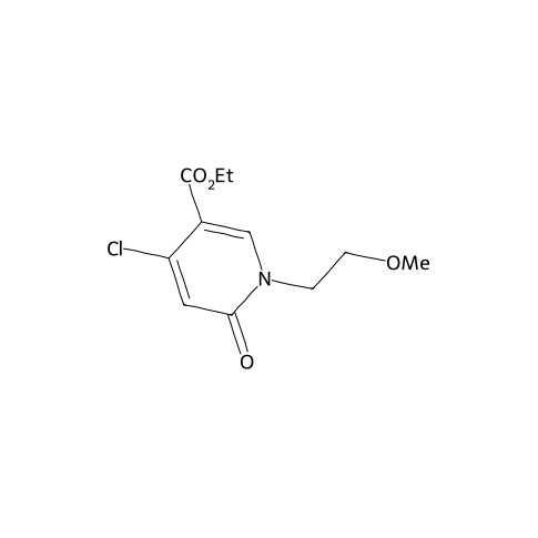 CCOC(=O)c1cn(CCOC)c(=O)cc1Cl